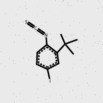 CC(C)(C)c1cc(I)ccc1N=C=S